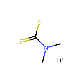 CN(C)C(=S)[S-].[Li+]